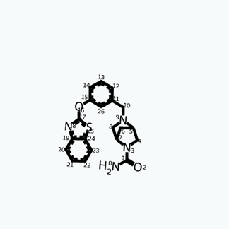 NC(=O)N1CC2CC1CN2Cc1cccc(Oc2nc3ccccc3s2)c1